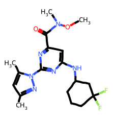 CON(C)C(=O)c1cc(NC2CCCC(F)(F)C2)nc(-n2nc(C)cc2C)n1